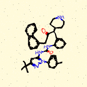 Cc1ccc(-n2nc(C(C)(C)C)cc2NC(=O)Nc2ccccc2C(C(=O)Cc2cccc3ccccc23)C2CCNCC2)cc1